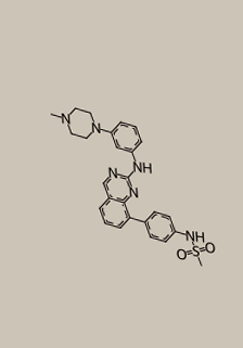 CN1CCN(c2cccc(Nc3ncc4cccc(-c5ccc(NS(C)(=O)=O)cc5)c4n3)c2)CC1